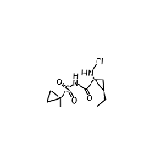 CC[C@@H]1C[C@]1(NCl)C(=O)NS(=O)(=O)C1(C)CC1